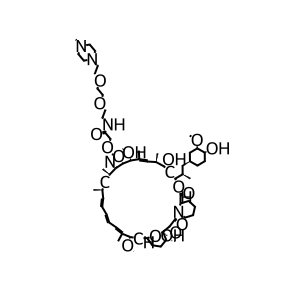 CO[C@H]1C[C@@H]2CC[C@@H](C)[C@@](O)(O2)C(=O)C(=O)N2CCCC[C@H]2C(=O)O[C@H]([C@H](C)C[C@@H]2CC[C@@H](O)[C@H](OC)C2)C[C@@H](O)[C@H](C)/C=C(\C)[C@@H](O)[C@@H](OC)C(=NCOCC(=O)NCCOCCOCCN2CCN(C)CC2)[C@H](C)C[C@H](C)/C=C/C=C/C=C/1C